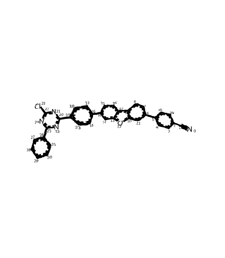 N#Cc1ccc(-c2ccc3c(c2)oc2cc(-c4ccc(-c5nc(Cl)nc(-c6ccccc6)n5)cc4)ccc23)cc1